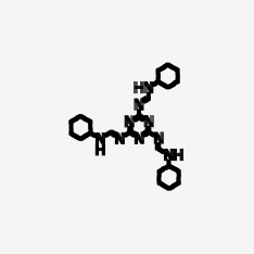 C(=Nc1nc(N=CNC2CCCCC2)nc(N=CNC2CCCCC2)n1)NC1CCCCC1